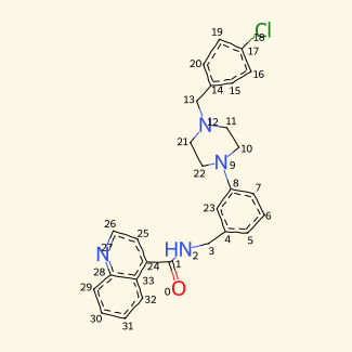 O=C(NCc1cccc(N2CCN(Cc3ccc(Cl)cc3)CC2)c1)c1ccnc2ccccc12